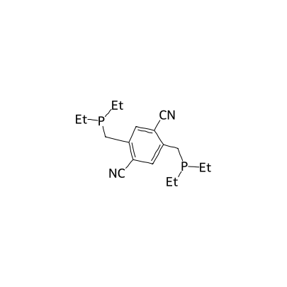 CCP(CC)Cc1cc(C#N)c(CP(CC)CC)cc1C#N